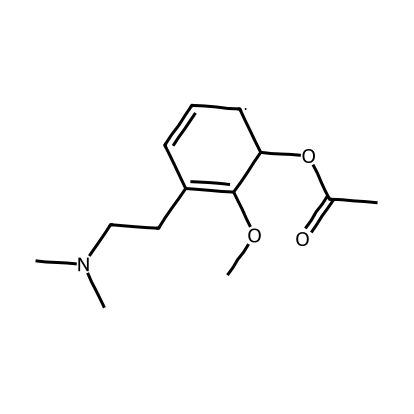 COC1=C(CCN(C)C)C=C[CH]C1OC(C)=O